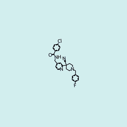 N#CC1(c2cc(CNC(=O)c3ccc(Cl)cc3)ccn2)CCN(Cc2ccc(F)cc2)CC1